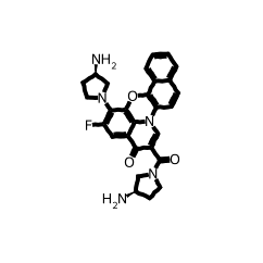 N[C@@H]1CCN(C(=O)c2cn3c4c(c(N5CC[C@@H](N)C5)c(F)cc4c2=O)Oc2c-3ccc3ccccc23)C1